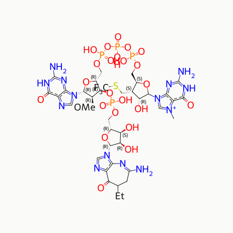 CCC1CC(N)=Nc2c(ncn2[C@@H]2O[C@H](COP(=O)(O)O[C@H]3[C@@H](OC)[C@H](n4cnc5c(=O)[nH]c(N)nc54)O[C@@H]3COP(=O)(O)OP(=O)(O)OP(=O)(O)OC[C@H]3OC(n4c[n+](C)c5c(=O)[nH]c(N)nc54)[C@H](O)[C@@H]3CSC(F)(F)F)[C@@H](O)[C@H]2O)C1=O